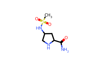 CS(=O)(=O)NC1CNC(C(N)=O)C1